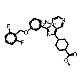 COC(=O)C1CCC(C2=C3C=NC=C[N+]3(N)C(c3cccc(OCc4c(F)cccc4F)c3)=N2)CC1